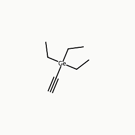 C#[C][Ge]([CH2]C)([CH2]C)[CH2]C